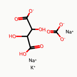 O=C([O-])C(O)C(O)C(=O)O.O=C([O-])[O-].[K+].[Na+].[Na+]